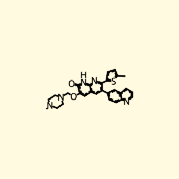 Cc1ccc(-c2nc3[nH]c(=O)c(OCN4CCN(C)CC4)cc3cc2-c2ccc3ncccc3c2)s1